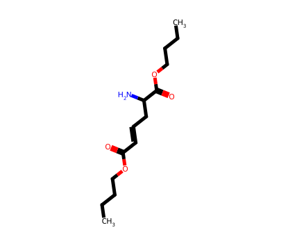 CCCCOC(=O)C=CCC(N)C(=O)OCCCC